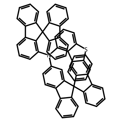 c1ccc2c(c1)-c1ccccc1C21c2ccccc2-c2ccc(N(c3cccc4c3C3(c5ccccc5-c5ccccc53)c3ccccc3-4)c3cccc4sc5ccccc5c34)cc21